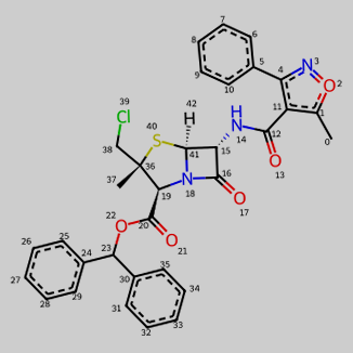 Cc1onc(-c2ccccc2)c1C(=O)N[C@@H]1C(=O)N2[C@@H](C(=O)OC(c3ccccc3)c3ccccc3)[C@](C)(CCl)S[C@@H]12